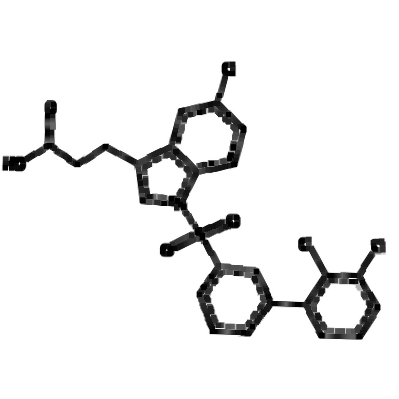 O=C(O)CCc1cn(S(=O)(=O)c2cccc(-c3cccc(Cl)c3Cl)c2)c2ccc(Cl)cc12